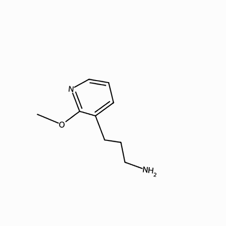 COc1ncccc1CCCN